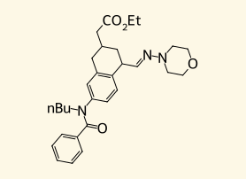 CCCCN(C(=O)c1ccccc1)c1ccc2c(c1)CC(CC(=O)OCC)CC2C=NN1CCOCC1